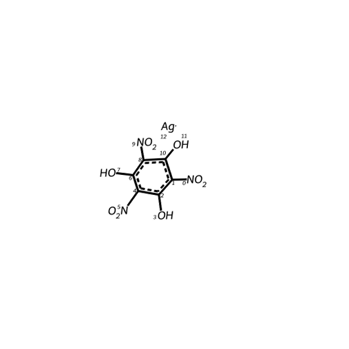 O=[N+]([O-])c1c(O)c([N+](=O)[O-])c(O)c([N+](=O)[O-])c1O.[Ag]